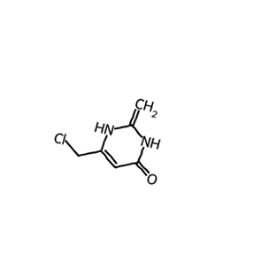 C=C1NC(=O)C=C(CCl)N1